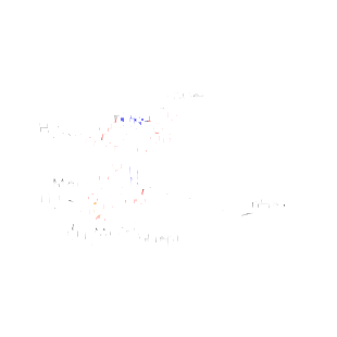 C=CCOC(=O)O[C@H]1[C@H](OCCCCCCCCCC)[C@@H](NC(=O)CC(=O)CCCCCCCCCCC)C(O)O[C@@H]1CO[C@@H]1O[C@H](COC)[C@@H](OP(=O)(OCC=C)OCC=C)[C@H](OCC[C@@H](CCCCCCC)OC)[C@H]1NC(=O)CCCCCCCCC/C=C\CCCCCC